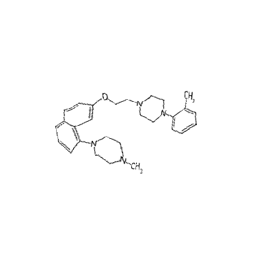 Cc1ccccc1N1CCN(CCOc2ccc3cccc(N4CCN(C)CC4)c3c2)CC1